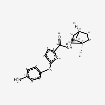 Nc1ccc(Sc2ccc(C(=O)N[C@@H]3C[C@H]4CC[C@@H]3N4)s2)cc1